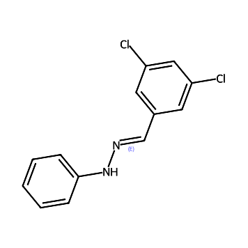 Clc1cc(Cl)cc(/C=N/Nc2ccccc2)c1